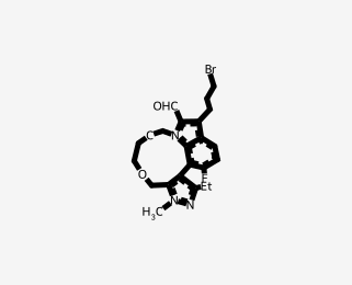 CCc1nn(C)c2c1-c1c(F)ccc3c(CCCBr)c(C=O)n(c13)CCCCOC2